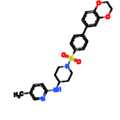 Cc1ccc(NC2CCN(S(=O)(=O)c3ccc(-c4ccc5c(c4)OCCO5)cc3)CC2)nc1